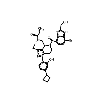 C=CC(=O)N1CCc2nn(-c3ccc(C4CCC4)cc3O)c3c2C(C1)N(C(=O)c1ccc(Br)c2[nH]c(CO)nc12)CC3